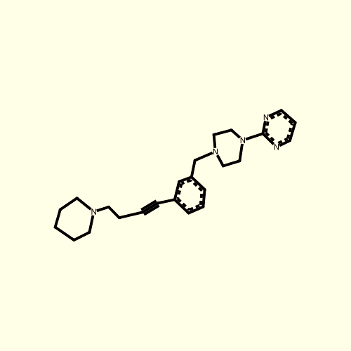 C(#Cc1cccc(CN2CCN(c3ncccn3)CC2)c1)CCN1CCCCC1